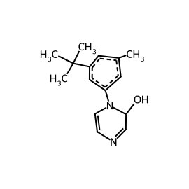 Cc1cc(N2C=CN=CC2O)cc(C(C)(C)C)c1